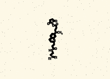 CCN(CC)CCNC(=O)CCc1ccc2ccc(C(C)CCC(=O)ON3C(=O)CCC3=O)cc2n1